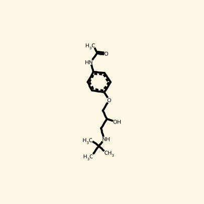 CC(=O)Nc1ccc(OCC(O)CNC(C)(C)C)cc1